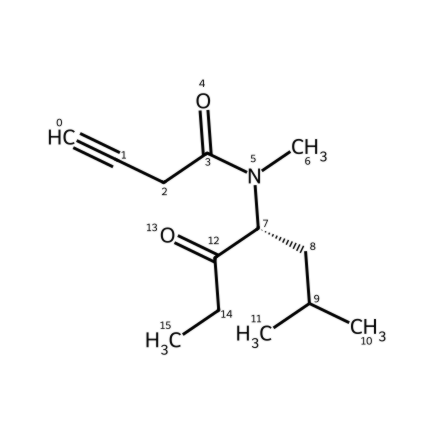 C#CCC(=O)N(C)[C@H](CC(C)C)C(=O)CC